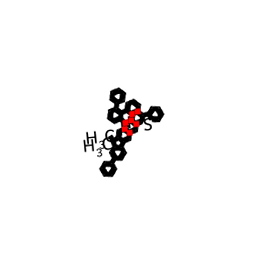 CC1(C)c2cc(-c3ccccc3)ccc2-c2ccc(N(c3ccc4c(c3)sc3ccccc34)c3cccc(-c4ccccc4)c3-c3ccccc3-c3ccccc3)cc21